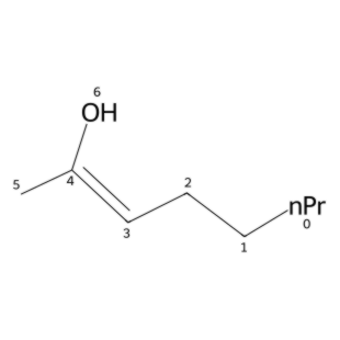 CCCCCC=C(C)O